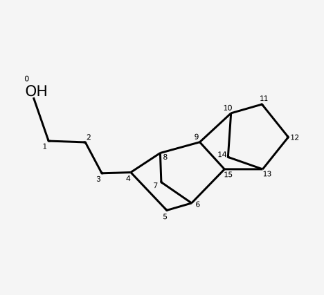 OCCCC1CC2CC1C1C3CCC(C3)C21